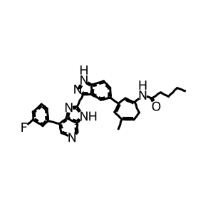 CCCCC(=O)NC1=CC(c2ccc3[nH]nc(-c4nc5c(-c6cccc(F)c6)cncc5[nH]4)c3c2)=CC(C)=CC1